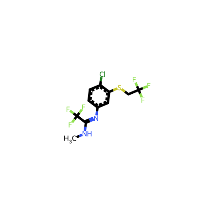 CN/C(=N/c1ccc(Cl)c(SCC(F)(F)F)c1)C(F)(F)F